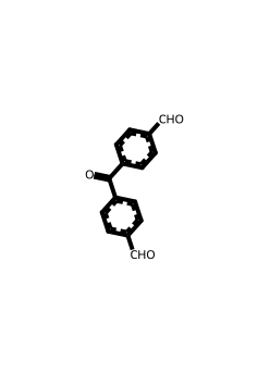 O=Cc1ccc(C(=O)c2ccc(C=O)cc2)cc1